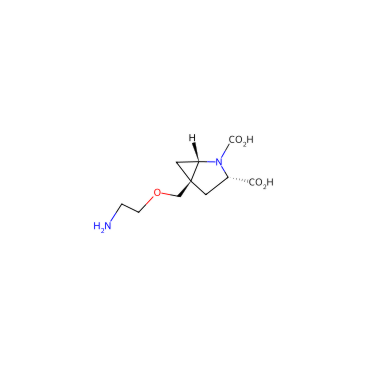 NCCOC[C@@]12C[C@@H]1N(C(=O)O)[C@H](C(=O)O)C2